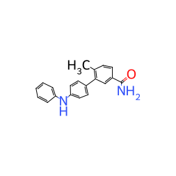 Cc1ccc(C(N)=O)cc1-c1ccc(Nc2ccccc2)cc1